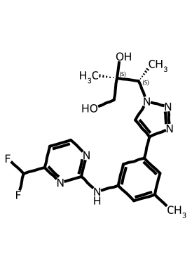 Cc1cc(Nc2nccc(C(F)F)n2)cc(-c2cn([C@@H](C)[C@](C)(O)CO)nn2)c1